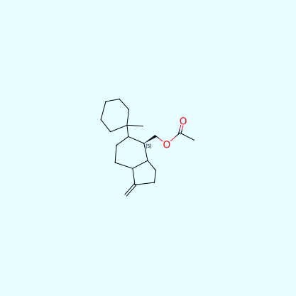 C=C1CCC2C1CCC(C1(C)CCCCC1)[C@H]2COC(C)=O